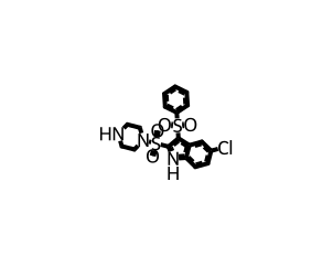 O=S(=O)(c1ccccc1)c1c(S(=O)(=O)N2CCNCC2)[nH]c2ccc(Cl)cc12